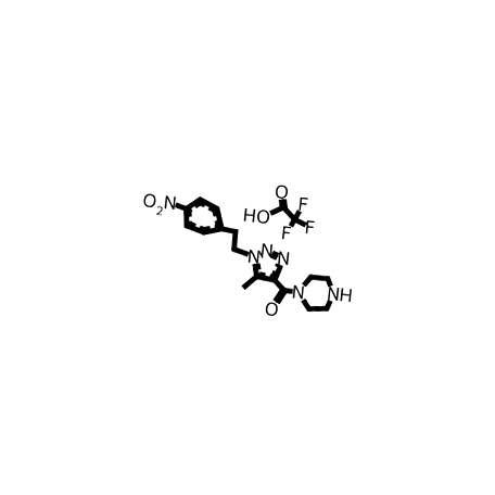 Cc1c(C(=O)N2CCNCC2)nnn1CCc1ccc([N+](=O)[O-])cc1.O=C(O)C(F)(F)F